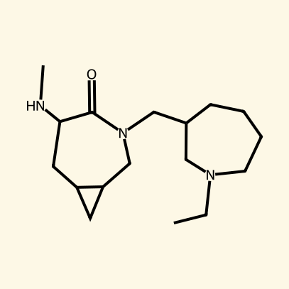 CCN1CCCCC(CN2CC3CC3CC(NC)C2=O)C1